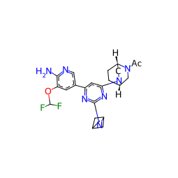 CC(=O)N1C[C@@H]2CC[C@H]1CN2c1cc(-c2cnc(N)c(OC(F)F)c2)nc(N2CC3CC2C3)n1